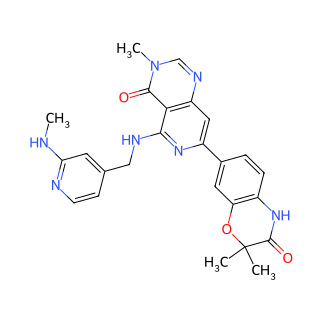 CNc1cc(CNc2nc(-c3ccc4c(c3)OC(C)(C)C(=O)N4)cc3ncn(C)c(=O)c23)ccn1